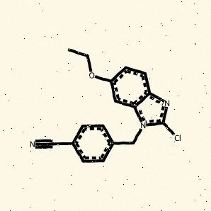 CCOc1ccc2nc(Cl)n(Cc3ccc(C#N)cc3)c2c1